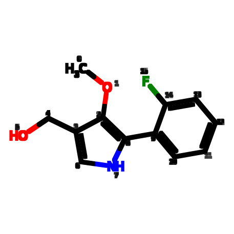 COc1c(CO)c[nH]c1-c1ccccc1F